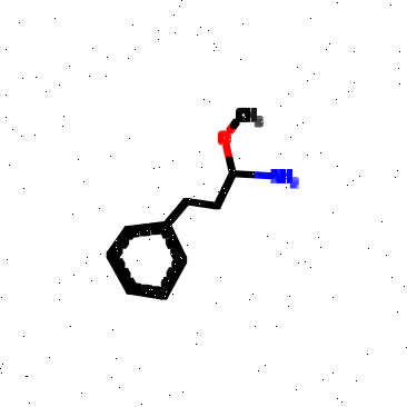 COC(N)CCc1ccccc1